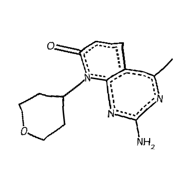 Cc1nc(N)nc2c1ccc(=O)n2C1CCOCC1